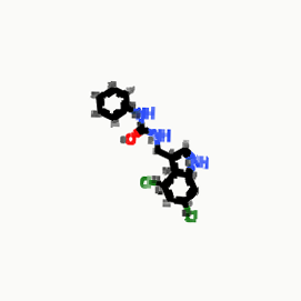 O=C(NCc1c[nH]c2cc(Cl)cc(Cl)c12)Nc1ccccc1